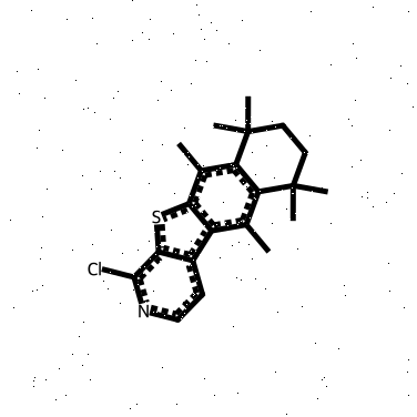 Cc1c2c(c(C)c3c1sc1c(Cl)nccc13)C(C)(C)CCC2(C)C